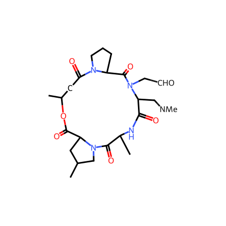 CNCC1C(=O)NC(C)C(=O)N2CC(C)CC2C(=O)OC(C)CC(=O)N2CCCC2C(=O)N1CC=O